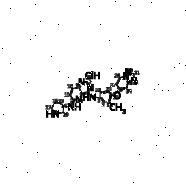 Cc1cc(Nc2ncnc3ccc(NC4CCCNC4)nc23)ccc1Oc1ccn2ncnc2c1.Cl